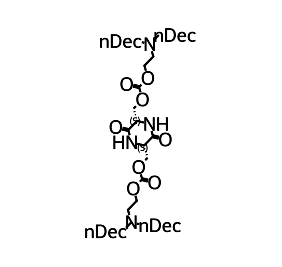 CCCCCCCCCCN(CCCCCCCCCC)CCOC(=O)OC[C@@H]1NC(=O)[C@H](COC(=O)OCCN(CCCCCCCCCC)CCCCCCCCCC)NC1=O